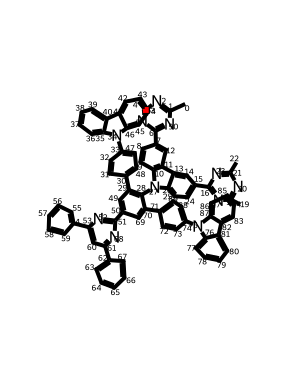 Cc1nc(C)nc(-c2ccc3c(c2)c2cc(-c4nc(C)nc(C)n4)ccc2n3-c2c(-c3ccc(-n4c5ccccc5c5ccccc54)cc3)cc(-c3nc(-c4ccccc4)cc(-c4ccccc4)n3)cc2-c2ccc(-n3c4ccccc4c4ccccc43)cc2)n1